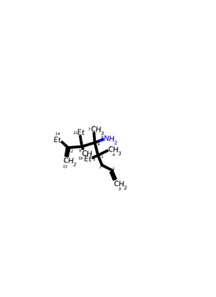 C=CCC(C)(CC)C(C)(N)C(C)(CC)C(=C)CC